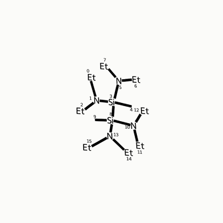 CCN(CC)[Si](C)(N(CC)CC)[Si](C)(N(CC)CC)N(CC)CC